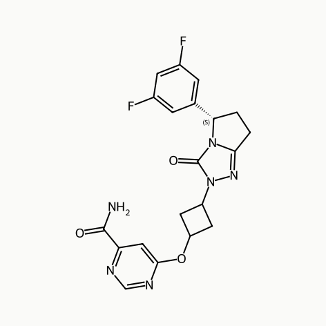 NC(=O)c1cc(OC2CC(n3nc4n(c3=O)[C@H](c3cc(F)cc(F)c3)CC4)C2)ncn1